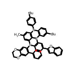 Cc1cc2c3c(c1)N(c1cc4c(cc1-c1ccccc1)OCCO4)c1ccc(-c4cc5ccccc5o4)cc1B3c1cc(C(C)(C)C)ccc1N2c1ccc(C(C)(C)C)cc1